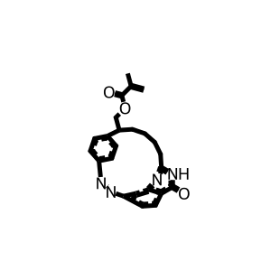 C=C(C)C(=O)OCC1CCCCc2nc3cc(ccc3c(=O)[nH]2)/N=N\c2ccc1cc2